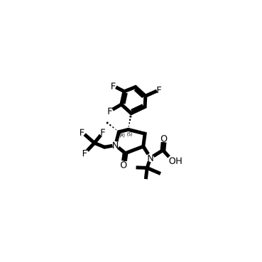 C[C@@H]1[C@H](c2cc(F)cc(F)c2F)CC(N(C(=O)O)C(C)(C)C)C(=O)N1CC(F)(F)F